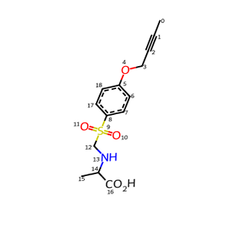 CC#CCOc1ccc(S(=O)(=O)CNC(C)C(=O)O)cc1